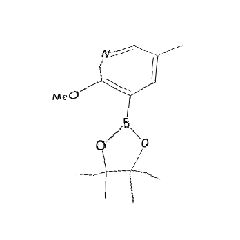 COc1ncc(C)cc1B1OC(C)(C)C(C)(C)O1